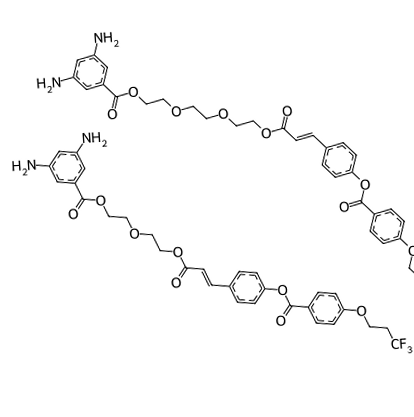 Nc1cc(N)cc(C(=O)OCCOCCOC(=O)C=Cc2ccc(OC(=O)c3ccc(OCCC(F)(F)F)cc3)cc2)c1.Nc1cc(N)cc(C(=O)OCCOCCOCCOC(=O)C=Cc2ccc(OC(=O)c3ccc(OCCC(F)(F)F)cc3)cc2)c1